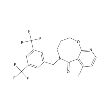 O=C1c2c(I)ccnc2OCCCN1Cc1cc(C(F)(F)F)cc(C(F)(F)F)c1